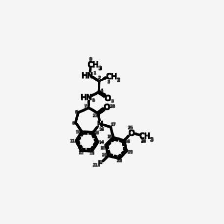 CN[C@@H](C)C(=O)NC1CCc2ccccc2N(Cc2cc(F)ccc2OC)C1=O